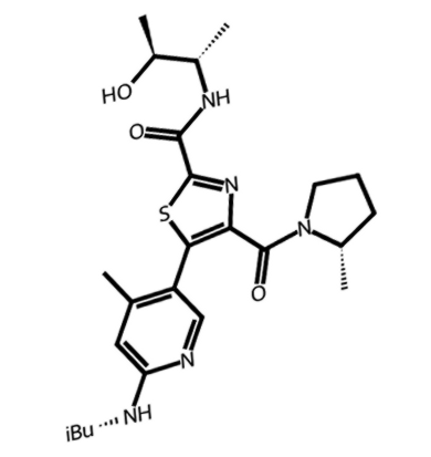 CC[C@@H](C)Nc1cc(C)c(-c2sc(C(=O)N[C@@H](C)[C@H](C)O)nc2C(=O)N2CCC[C@@H]2C)cn1